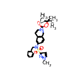 Cn1ccc(S(=O)(=O)N(Cc2ccccc2)c2ccc3c(c2)CCN(C(=O)OC(C)(C)C)C3)n1